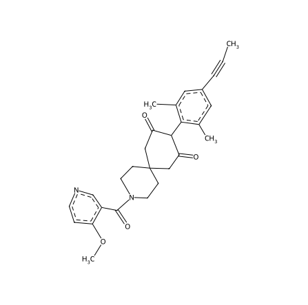 CC#Cc1cc(C)c(C2C(=O)CC3(CCN(C(=O)c4cnccc4OC)CC3)CC2=O)c(C)c1